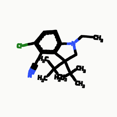 CCN1CC(C(C)(C)C)(C(C)(C)C)c2c1ccc(Cl)c2C#N